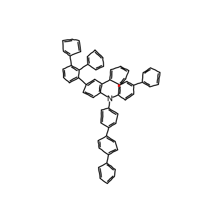 c1ccc(-c2ccc(-c3ccc(N(c4ccc(-c5ccccc5)cc4)c4ccc(-c5cccc(-c6ccccc6)c5-c5ccccc5)cc4-c4ccccc4)cc3)cc2)cc1